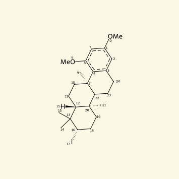 COc1cc2c(c(OC)c1)[C@]1(C)CC[C@H]3C(C)(C)[C@@H](I)CC[C@]3(C)C1CC2